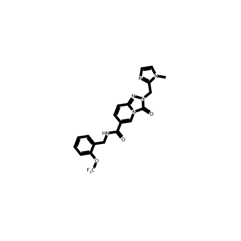 Cn1ccnc1Cn1nc2ccc(C(=O)NCc3ccccc3OC(F)(F)F)cn2c1=O